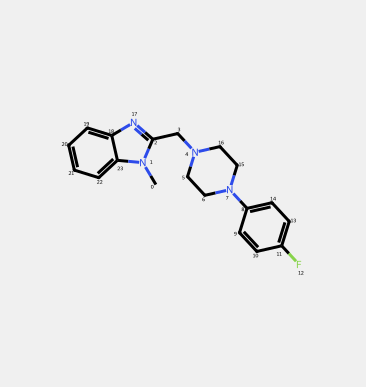 Cn1c(CN2CCN(c3ccc(F)cc3)CC2)nc2ccccc21